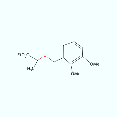 CCOC(=O)C(C)OCc1cccc(OC)c1OC